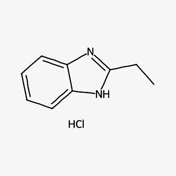 CCc1nc2ccccc2[nH]1.Cl